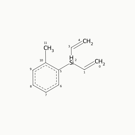 C=C[SiH](C=C)c1ccccc1C